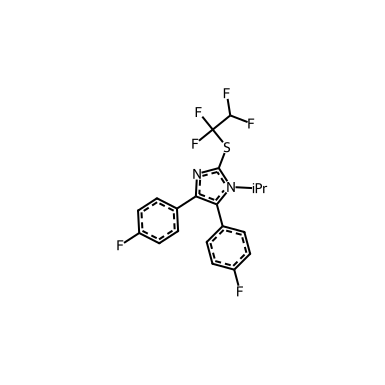 CC(C)n1c(SC(F)(F)C(F)F)nc(-c2ccc(F)cc2)c1-c1ccc(F)cc1